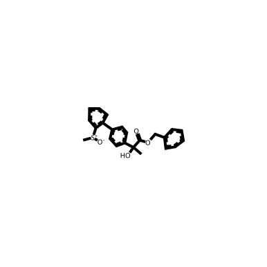 C[S+]([O-])c1ccccc1-c1ccc(C(C)(O)C(=O)OCc2ccccc2)cc1